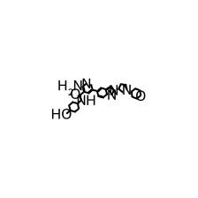 Nc1ncc(-c2ccc3nn(C4CCN(C5CCOCC5)C4)cc3c2)cc1C(=O)NC1CCC(O)CC1